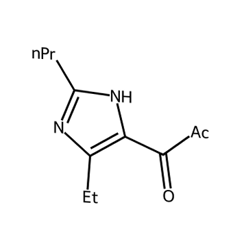 CCCc1nc(CC)c(C(=O)C(C)=O)[nH]1